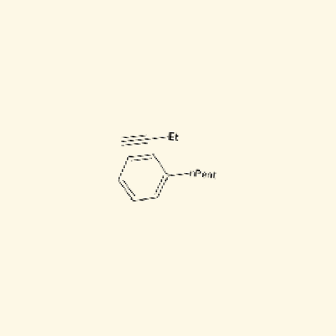 C#CCC.CCCCCc1ccccc1